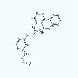 O=C(O)COc1cccc(CCC(=O)NC(Cc2ccccc2)c2ccccc2)c1